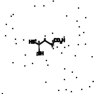 O=C(O)[CH]CC(S)S